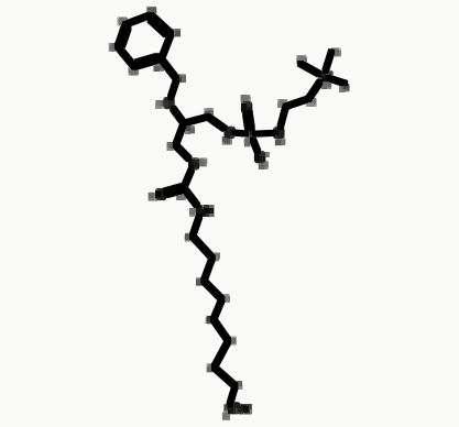 CCCCCCCCCCCCCCCCCCNC(=O)OCC(COP(=O)([O-])OCC[N+](C)(C)C)OCc1ccccc1